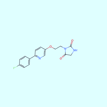 O=C1CNC(=O)N1CCOc1ccc(-c2ccc(F)cc2)nc1